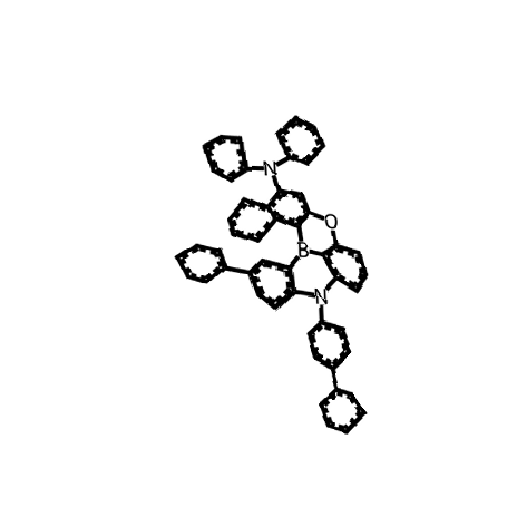 c1ccc(-c2ccc(N3c4ccc(-c5ccccc5)cc4B4c5c(cccc53)Oc3cc(N(c5ccccc5)c5ccccc5)c5ccccc5c34)cc2)cc1